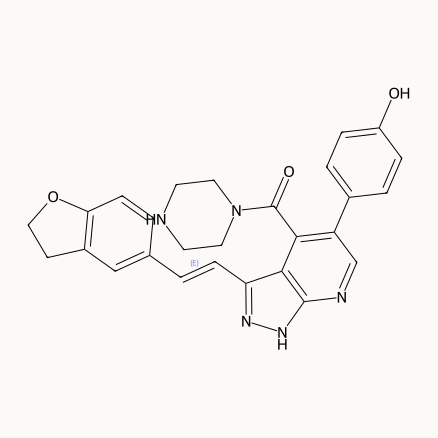 O=C(c1c(-c2ccc(O)cc2)cnc2[nH]nc(/C=C/c3ccc4c(c3)CCO4)c12)N1CCNCC1